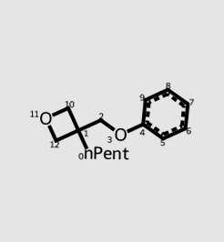 CCCCCC1(COc2ccccc2)COC1